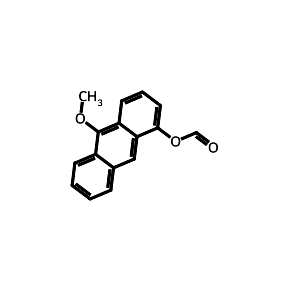 COc1c2ccccc2cc2c(OC=O)cccc12